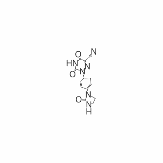 N#Cc1nn(-c2ccc(N3CCNC3=O)cc2)c(=O)[nH]c1=O